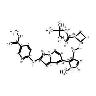 COC(=O)c1ccc(Nc2cc3cc(-c4c(OC[C@H]5CCN5C(=O)OC(C)(C)C)cnn4C)ccn3n2)nc1